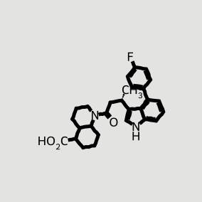 C[C@@H](CC(=O)N1CCCC2C(C(=O)O)CCCC21)c1c[nH]c2cccc(-c3ccc(F)cc3)c12